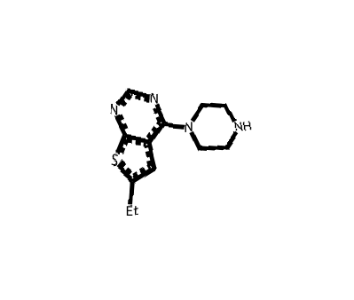 CCc1cc2c(N3CCNCC3)ncnc2s1